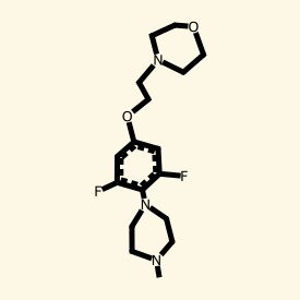 CN1CCN(c2c(F)cc(OCCN3CCOCC3)cc2F)CC1